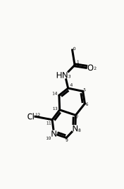 CC(=O)Nc1ccc2ncnc(Cl)c2c1